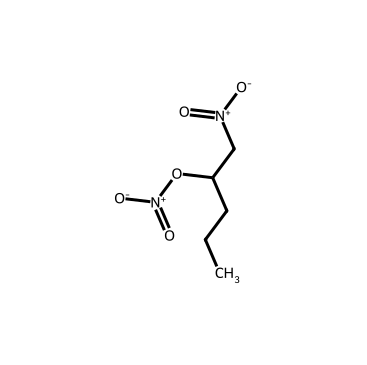 CCCC(C[N+](=O)[O-])O[N+](=O)[O-]